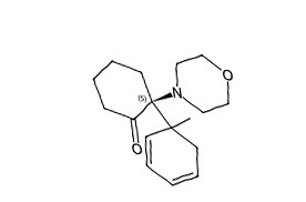 CC1([C@@]2(N3CCOCC3)CCCCC2=O)C=CC=CC1